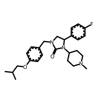 CC(C)COc1ccc(CN2CC(c3ccc(F)cc3)N(C3CCN(C)CC3)C2=O)cc1